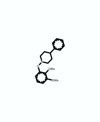 COc1cccc(ON2CCC(c3cc[c]cc3)CC2)c1OC